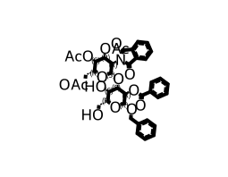 CC(=O)OC[C@H]1O[C@@H](O[C@H]2[C@@H](O)[C@@H](CO)O[C@@H](OCc3ccccc3)[C@@H]2OC(=O)c2ccccc2)[C@H](N2C(=O)c3ccccc3C2=O)[C@@H](OC(C)=O)[C@@H]1OC(C)=O